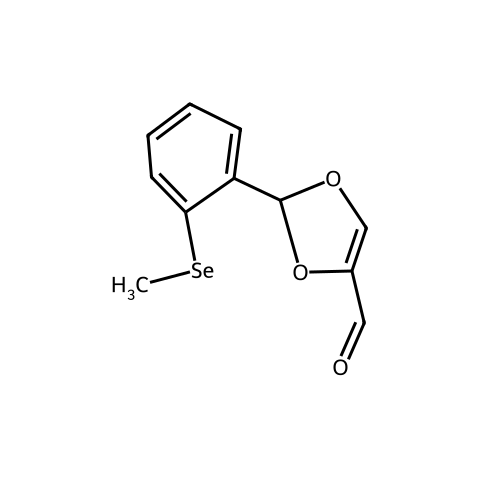 C[Se]c1ccccc1C1OC=C(C=O)O1